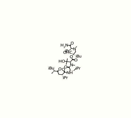 CC[C@H](C)[C@H](C)C(=O)C[C@H](C(=O)N[C@@H](CC(C)C)C(=O)N(C)[C@H](C(=O)O[C@@](C=O)(CN(C)[C@H](C(N)=O)C(C)C)[C@@H](C)CC)C(C)(C)O)C(C)C